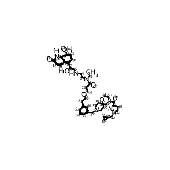 CCN(CCNC[C@H](O)c1ccc(O)c2[nH]c(=O)ccc12)C(=O)CCOCCc1cccc(CN2CCC3(CC2)CN(C(=O)c2ccn(CC4CC4)n2)CCO3)c1